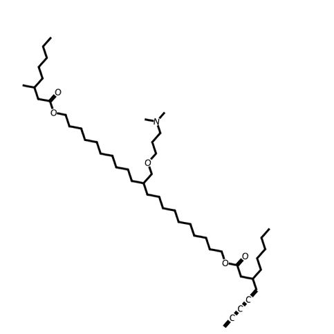 C=C=C=C=CC(CCCCC)CC(=O)OCCCCCCCCCCC(CCCCCCCCCCOC(=O)CC(C)CCCCC)COCCCN(C)C